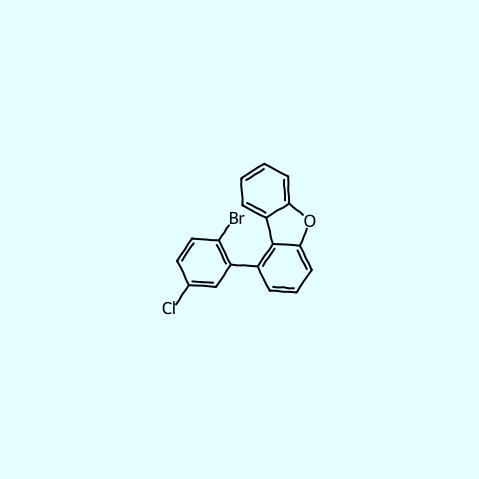 Clc1ccc(Br)c(-c2cccc3oc4ccccc4c23)c1